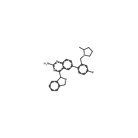 CC1CCCN1Cc1cc(F)ccc1-c1ccc2nc(N)nc(C3[N]Cc4ccccc43)c2c1